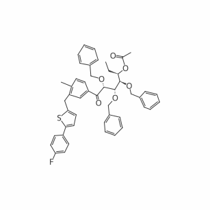 CC[C@@H](OC(C)=O)[C@@H](OCc1ccccc1)[C@H](OCc1ccccc1)[C@@H](OCc1ccccc1)C(=O)c1ccc(C)c(Cc2ccc(-c3ccc(F)cc3)s2)c1